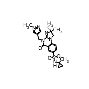 Cn1cc(CN2C(=O)c3cc(S(=O)(=O)NC4(C)CC4)ccc3N3CC(C)(C)N=C23)cn1